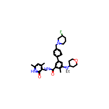 CCN(c1cc(-c2ccc(CN3CCCC(F)C3)cc2)cc(C(=O)NCc2c(C)cc(C)[nH]c2=O)c1C)C1CCOCC1